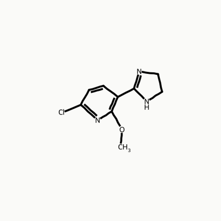 COc1nc(Cl)ccc1C1=NCCN1